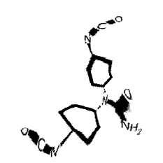 NC(=O)N([C@H]1CC[C@H](N=C=O)CC1)[C@H]1CC[C@H](N=C=O)CC1